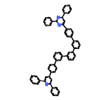 c1ccc(-c2cc(-c3ccc(-c4cccc(-c5cccc(-c6cccc(-c7ccc(-c8cc(-c9ccccc9)nc(-c9ccccc9)n8)cc7)c6)c5)c4)cc3)cc(-c3ccccc3)n2)cc1